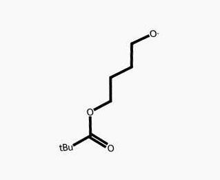 CC(C)(C)C(=O)OCCCC[O]